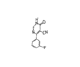 N#Cc1c(-c2cccc(F)c2)nc[nH]c1=O